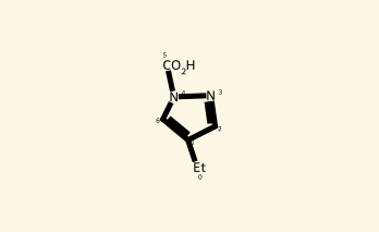 CCc1cnn(C(=O)O)c1